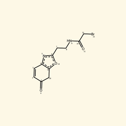 O=C1C=Cc2nc(CCNC(=O)CBr)oc2C1